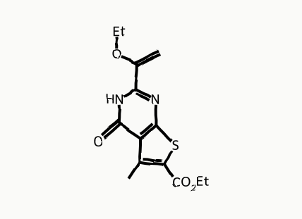 C=C(OCC)c1nc2sc(C(=O)OCC)c(C)c2c(=O)[nH]1